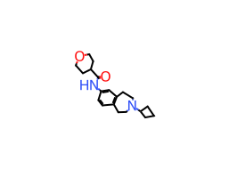 O=C(Nc1ccc2c(c1)CCN(C1CCC1)CC2)C1CCOCC1